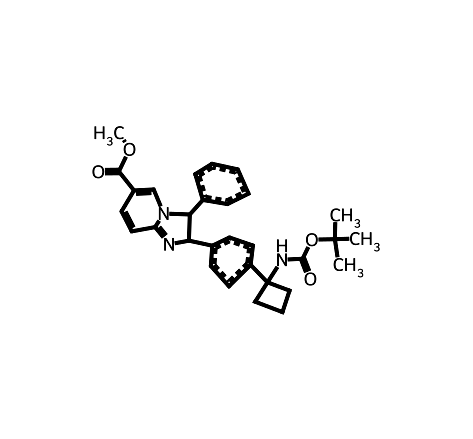 COC(=O)C1=CN2C(=NC(c3ccc(C4(NC(=O)OC(C)(C)C)CCC4)cc3)C2c2ccccc2)C=C1